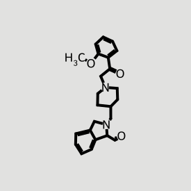 COc1ccccc1C(=O)CN1CCC(CN2Cc3ccccc3C2C=O)CC1